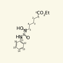 CCOC(=O)CCCCCN(O)C(=O)Nc1ccccc1